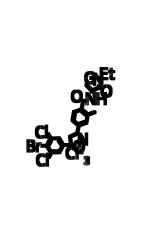 CCN1OCC(NC(=O)c2ccc(C3=NOC(c4cc(Cl)c(Br)c(Cl)c4)(C(F)(F)F)C3)cc2C)C1=O